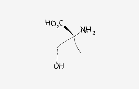 C[C@@](N)(CO)C(=O)O